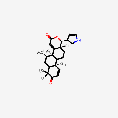 CC(=O)O[C@@H]1CC2C(C)(C)C(=O)C=C[C@]2(C)C2CC[C@]3(C)C(=CC(=O)O[C@H]3C3C=CNC3)[C@@]21C